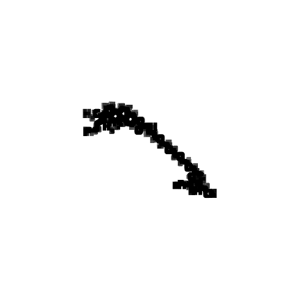 [2H]CC(COCCOCCOCCOCCCNC(=O)O[C@H]1CC[C@@]2(C)C(=CCC3C4CCC([C@@H](C)CCCC(C)C)[C@@]4(C)CCC32)C1)OP(OCCC#N)N(CCC)CCC